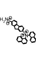 NS(=O)(=O)c1ccc2c(c1)Cc1cc(S(=O)(=O)N(c3cccc4ccccc34)c3cccc4ccccc34)ccc1-2